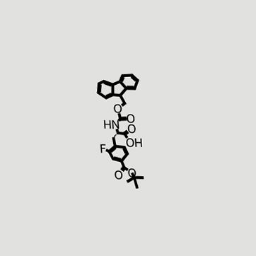 CC(C)(C)OC(=O)c1ccc(C[C@H](NC(=O)OCC2c3ccccc3-c3ccccc32)C(=O)O)c(F)c1